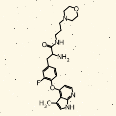 Cc1c[nH]c2nccc(Oc3ccc(CC(N)C(=O)NCCCN4CCOCC4)cc3F)c12